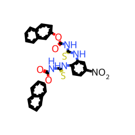 O=C(NC(=S)Nc1ccc([N+](=O)[O-])cc1NC(=S)NC(=O)Oc1ccc2ccccc2c1)Oc1ccc2ccccc2c1